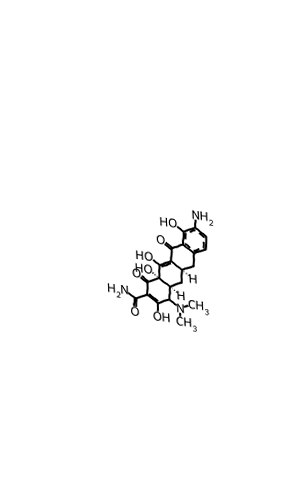 CN(C)C1C(O)=C(C(N)=O)C(=O)[C@@]2(O)C(O)=C3C(=O)c4c(ccc(N)c4O)C[C@H]3C[C@@H]12